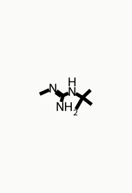 C/N=C(\N)NC(C)(C)C